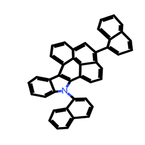 c1ccc2c(-c3cc4cccc5c4c4c3cccc4c3c5c4ccccc4n3-c3cccc4ccccc34)cccc2c1